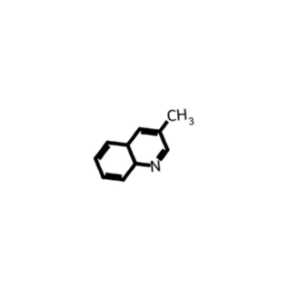 CC1=CC2C=CC=CC2N=C1